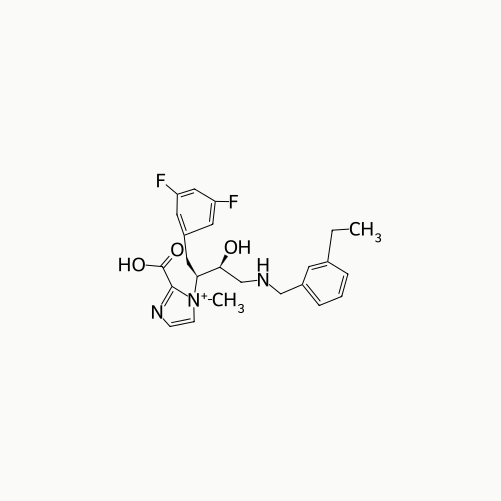 CCc1cccc(CNC[C@H](O)[C@H](Cc2cc(F)cc(F)c2)[N+]2(C)C=CN=C2C(=O)O)c1